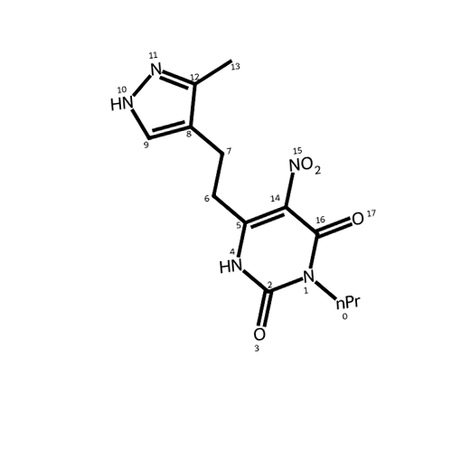 CCCn1c(=O)[nH]c(CCc2c[nH]nc2C)c([N+](=O)[O-])c1=O